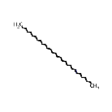 [CH2]CCCCCCCCCCCCCCCCCCCCC/C=C/CCCCCC